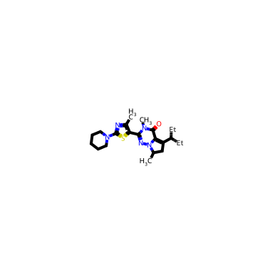 CCC(CC)C1=C2C(=O)N(C)C(c3sc(N4CCCCC4)nc3C)=NN2C(C)C1